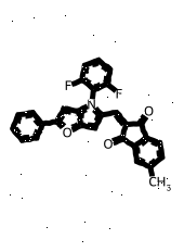 Cc1ccc2c(c1)C(=O)/C(=C\c1cc3oc(-c4ccccc4)cc3n1-c1c(F)cccc1F)C2=O